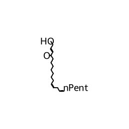 CCCCC/C=C\C/C=C\CCCCCCCC(=O)/C=C/CO